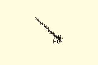 CCCCCCCCCCCCCCCCCCCCCCCCCCCN(C(C)O)C(C)O